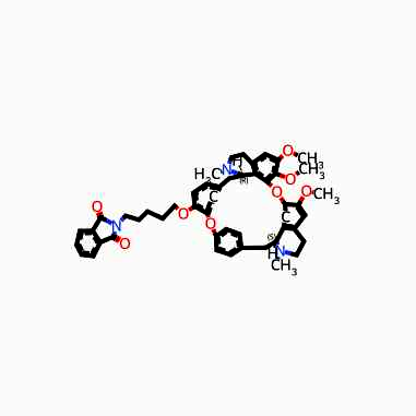 COC1=CC2=C3CC1Oc1c(OC)c(OC)cc4c1[C@@H](Cc1ccc(OCCCCCN5C(=O)c6ccccc6C5=O)c(c1)Oc1ccc(cc1)C[C@@H]3N(C)CC2)N(C)CC4